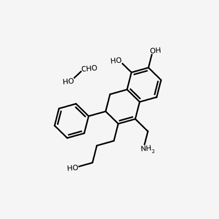 NCC1=C(CCCO)C(c2ccccc2)Cc2c1ccc(O)c2O.O=CO